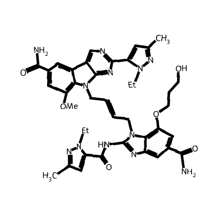 CCn1nc(C)cc1C(=O)Nc1nc2cc(C(N)=O)cc(OCCCO)c2n1CC=CCn1c2nc(-c3cc(C)nn3CC)ncc2c2cc(C(N)=O)cc(OC)c21